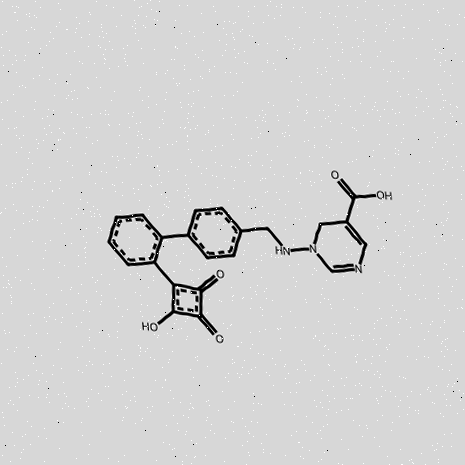 O=C(O)C1=CN=CN(NCc2ccc(-c3ccccc3-c3c(O)c(=O)c3=O)cc2)C1